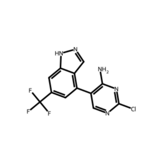 Nc1nc(Cl)ncc1-c1cc(C(F)(F)F)cc2[nH]ncc12